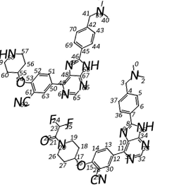 CN(C)Cc1ccc(-c2nc3c(-c4ccc(OC5CCN(C(=O)C(F)F)CC5)c(C#N)c4)ncnc3[nH]2)cc1.CN(C)Cc1ccc(-c2nc3c(-c4ccc(OC5CCNCC5)c(C#N)c4)ncnc3[nH]2)cc1